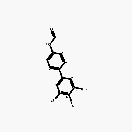 O=COc1ccc(-c2cc(F)c(F)c(F)c2)cc1